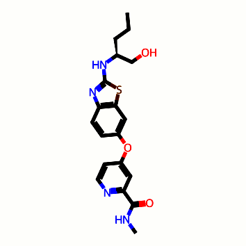 CCC[C@@H](CO)Nc1nc2ccc(Oc3ccnc(C(=O)NC)c3)cc2s1